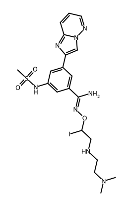 CN(C)CCNCC(I)O/N=C(\N)c1cc(NS(C)(=O)=O)cc(-c2cn3ncccc3n2)c1